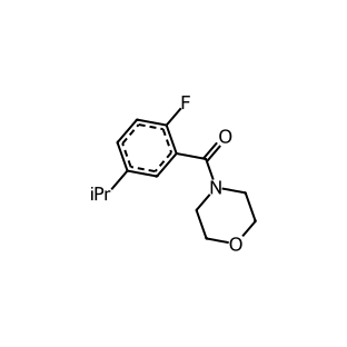 CC(C)c1ccc(F)c(C(=O)N2CCOCC2)c1